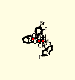 CC(C)(C)OC(=O)N1C2CCC1CN(c1nc(OC[C@@]34CCCN3C[C@H](F)C4)nc3c(F)c(Br)ccc13)C2